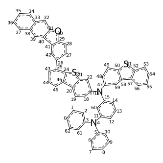 c1ccc(N(c2ccccc2)c2cccc(N(c3ccc4c(c3)sc3c(-c5ccc6oc7cc8ccccc8cc7c6c5)cccc34)c3ccc4sc5ccccc5c4c3)c2)cc1